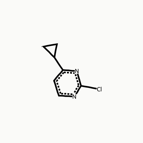 Clc1nccc(C2[CH]C2)n1